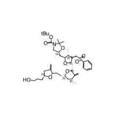 C=C1C[C@H](CCCO)OC1CC[C@H]1C[C@@H](C)C(=C)[C@@H](C[C@@H]2OC(C[C@H]3CN(C(=O)OC(C)(C)C)C(C)(C)O3)[C@H](C)[C@H]2CS(=O)(=O)c2ccccc2)O1